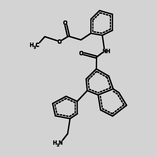 CCOC(=O)Cc1ccccc1NC(=O)c1cc(-c2cccc(CN)c2)c2ccccc2c1